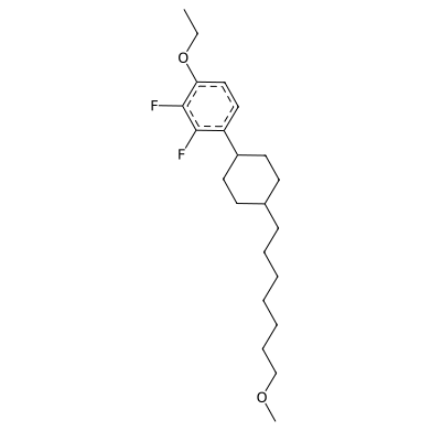 CCOc1ccc(C2CCC(CCCCCCCOC)CC2)c(F)c1F